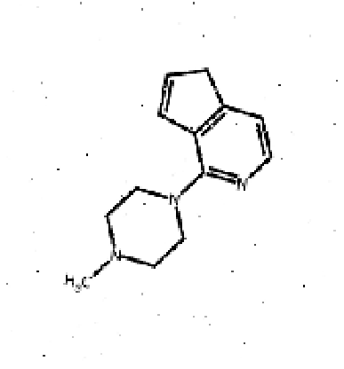 CN1CCN(c2nccc3c2C=CC3)CC1